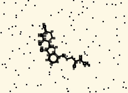 CNC(=O)CCSc1cccc2c1CN(C1CCC(=O)NC1=O)C2=O